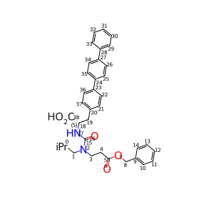 CC(C)CN(CCC(=O)OCc1ccccc1)C(=O)N[C@@H](Cc1ccc(-c2ccc(-c3ccccc3)cc2)cc1)C(=O)O